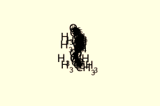 C[C@@H](NC(=O)OC(C)(C)C)C(=O)O[C@H]1CC[C@]2(C)C3CC[C@]4(C)[C@@H](c5ccc(=O)oc5)CC[C@]4(O)[C@@H]3CC[C@@H]2C1